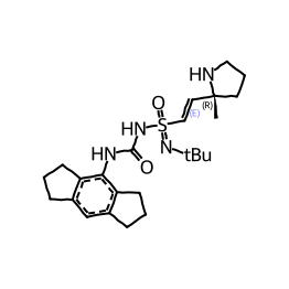 CC(C)(C)N=S(=O)(/C=C/[C@@]1(C)CCCN1)NC(=O)Nc1c2c(cc3c1CCC3)CCC2